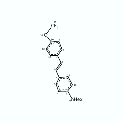 CCCCCCc1ccc(C=Cc2ccc(OC(F)(F)F)cc2)cc1